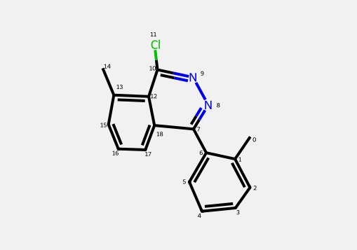 Cc1ccccc1-c1nnc(Cl)c2c(C)cccc12